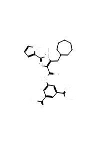 O=C(O)c1cc(NC(=O)c2nc(-c3ccc[nH]3)[nH]c2CC2CCCCCC2)cc(C(=O)O)c1